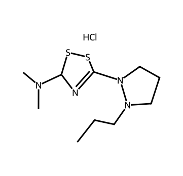 CCCN1CCCN1C1=NC(N(C)C)SS1.Cl